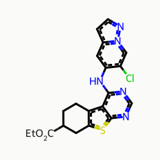 CCOC(=O)C1CCc2c(sc3ncnc(Nc4cc5ccnn5cc4Cl)c23)C1